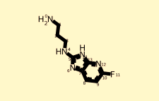 NCCCNc1nc2ccc(F)nc2[nH]1